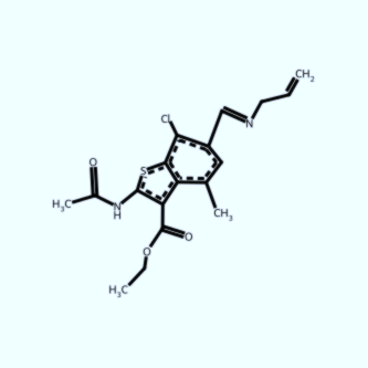 C=CC/N=C/c1cc(C)c2c(C(=O)OCC)c(NC(C)=O)sc2c1Cl